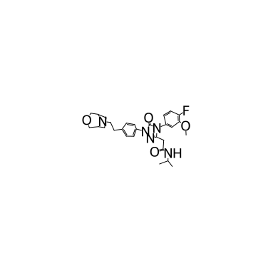 COc1cc(-n2c(CC(=O)NC(C)C)nn(-c3ccc(CCN4C5CCC4COC5)cc3)c2=O)ccc1F